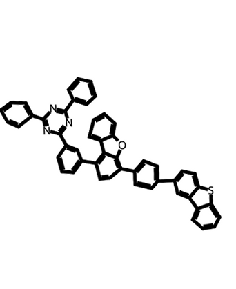 c1ccc(-c2nc(-c3ccccc3)nc(-c3cccc(-c4ccc(-c5ccc(-c6ccc7sc8ccccc8c7c6)cc5)c5oc6ccccc6c45)c3)n2)cc1